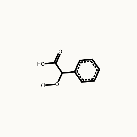 O=C(O)C(OCl)c1ccccc1